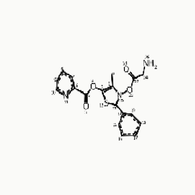 CC1=C(OC(=O)c2ccccn2)SC(c2ccccc2)N1OC(=O)CN